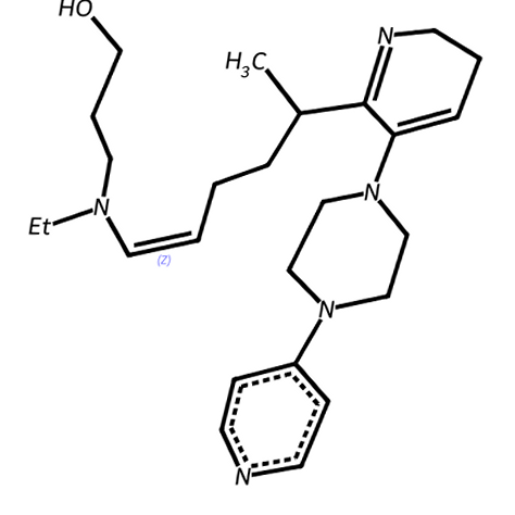 CCN(/C=C\CCC(C)C1=NCCC=C1N1CCN(c2ccncc2)CC1)CCCO